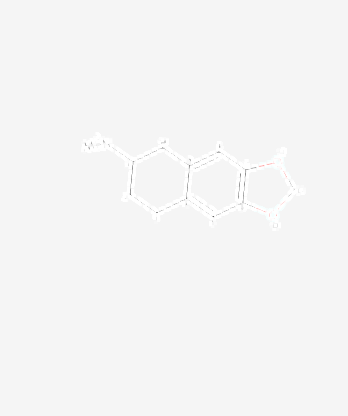 CNC1CCc2cc3c(cc2C1)OCO3